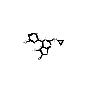 CC(=O)c1sc2nc(NC3CC3)nc(-c3cccc(O)c3)c2c1N